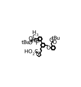 CC(NC(=O)OC(C)(C)C)c1cccc(-c2cc(/C=C/C3CCCN3C(=O)O)cc(COc3ccccc3CC(=O)OC(C)(C)C)c2)c1F